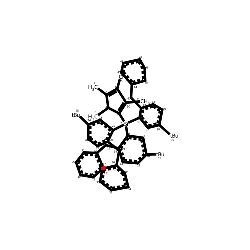 CC1=C(C)C(C)C([Si](c2cc(C(C)(C)C)ccc2Cc2ccccc2)(c2cc(C(C)(C)C)ccc2Cc2ccccc2)c2cc(C(C)(C)C)ccc2Cc2ccccc2)=C1C